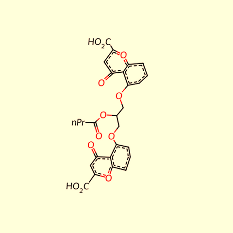 CCCC(=O)OC(COc1cccc2oc(C(=O)O)cc(=O)c12)COc1cccc2oc(C(=O)O)cc(=O)c12